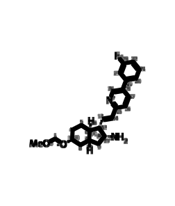 COCO[C@@H]1CC[C@@H]2[C@@H](C1)C[C@@H](N)[C@H]2C=Cc1ccc(-c2cccc(F)c2)cn1